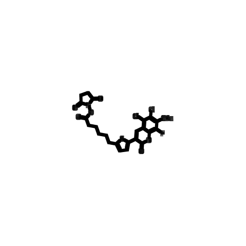 CC(=O)Oc1c(Cl)c(Cl)c2cc(-c3ccc(CCCCCC(=O)ON4C(=O)CCC4=O)s3)c(=O)oc2c1F